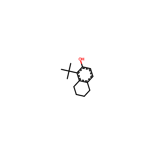 CC(C)(C)c1c(O)ccc2c1CCCC2